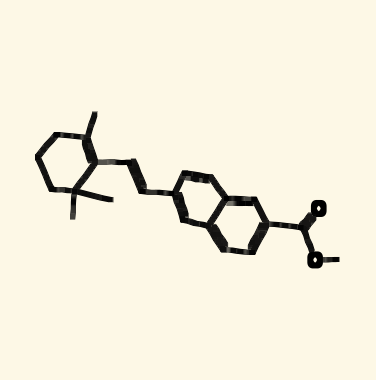 COC(=O)c1ccc2cc(C=CC3=C(C)CCCC3(C)C)ccc2c1